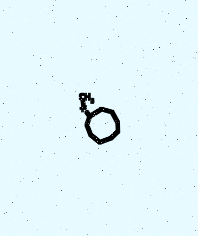 C[P]C1CCCCCCCC1